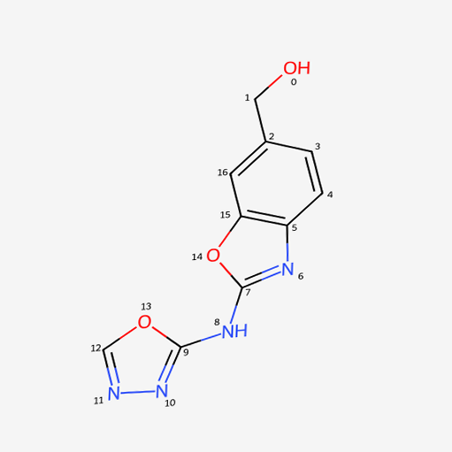 OCc1ccc2nc(Nc3nnco3)oc2c1